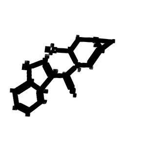 CC1CN2CC2=CN1C(=O)c1n[nH]c2ccccc12